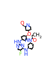 C=CC(=O)Nc1cccc(Nc2nc(Nc3ccc(Oc4ccnc(C=O)c4)cc3)ncc2F)c1